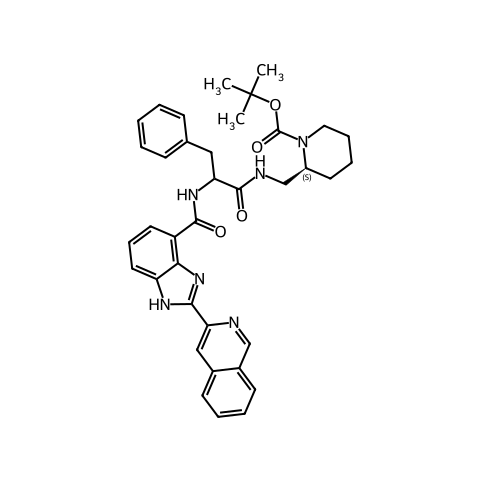 CC(C)(C)OC(=O)N1CCCC[C@H]1CNC(=O)C(Cc1ccccc1)NC(=O)c1cccc2[nH]c(-c3cc4ccccc4cn3)nc12